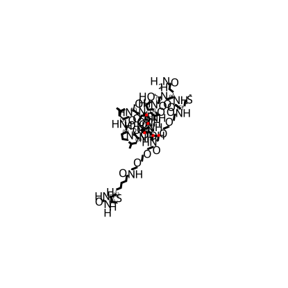 CC[C@H](C)[C@H](NC(=O)[C@@H]1CCCN1C(=O)[C@H](CO)NC(=O)[C@H](CCC(N)=O)NC(=O)[C@H](CCSC)NC(=O)COCCOCCNC(=O)COCCOCCNC(=O)CCCC[C@@H]1SC[C@@H]2NC(=O)N[C@@H]21)C(=O)N[C@H](C(=O)N[C@@H](CC(C)C)C(=O)N1CCC[C@H]1C(=O)N[C@@H](CC(C)C)C(=O)N[C@@H](CO)C(=O)N[C@@H](CC(C)C)C(=O)N[C@@H](CO)C(N)=O)C(C)C